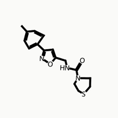 Cc1ccc(-c2cc(CNC(=O)N3CCSCC3)on2)cc1